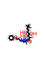 CC(C(=O)N[C@@H](C)CNCCCOC1CCCCC1)[C@H](O)C(O)[C@H](O)/C=C/C(C)(C)C